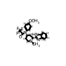 COc1ccc(N(C(=O)C(F)(F)F)[C@@H]2CCN(C)[C@@H](c3nc4ccccc4[nH]3)C2)cc1